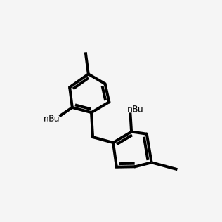 CCCCc1cc(C)ccc1Cc1ccc(C)cc1CCCC